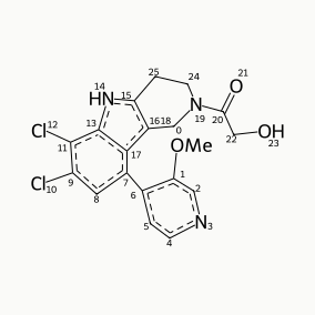 COc1cnccc1-c1cc(Cl)c(Cl)c2[nH]c3c(c12)CN(C(=O)CO)CC3